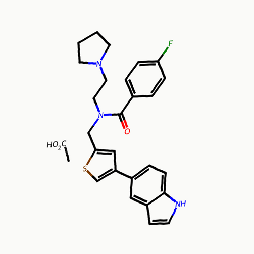 CC(=O)O.O=C(c1ccc(F)cc1)N(CCN1CCCC1)Cc1cc(-c2ccc3[nH]ccc3c2)cs1